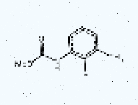 COC(=O)Nc1cccc(C)c1F